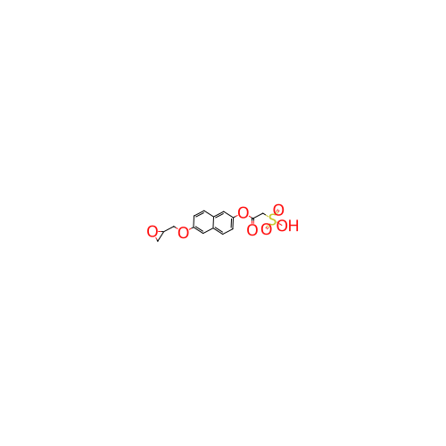 O=C(CS(=O)(=O)O)Oc1ccc2cc(OCC3CO3)ccc2c1